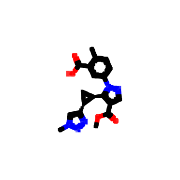 COC(=O)c1cnn(-c2ccc(C)c(C(=O)O)c2)c1[C@@H]1C[C@H]1c1cn(C)nn1